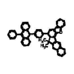 CC1(C)c2cc3ccccc3cc2-c2c1c(-c1ccc(-c3c4ccccc4c(-c4ccccc4)c4ccccc34)cc1)cc1c2oc2ccccc21